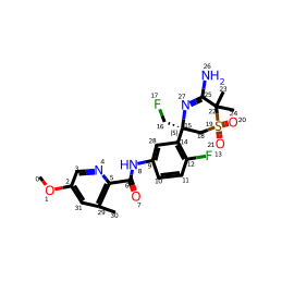 COc1cnc(C(=O)Nc2ccc(F)c([C@]3(CF)CS(=O)(=O)C(C)(C)C(N)=N3)c2)c(C)c1